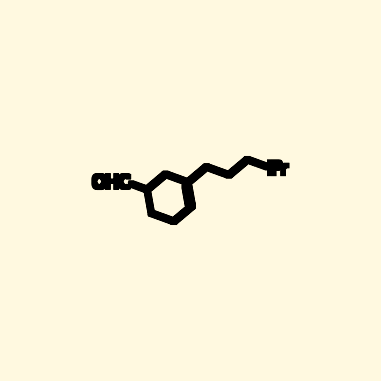 CC(C)CCCC1=CCCC(C=O)C1